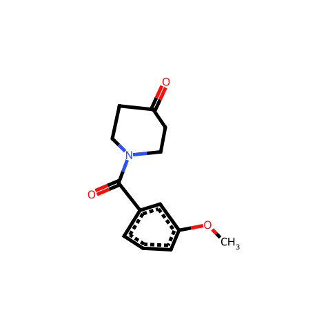 COc1cccc(C(=O)N2CCC(=O)CC2)c1